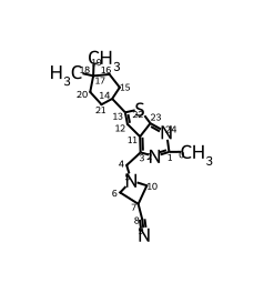 Cc1nc(CN2CC(C#N)C2)c2cc(C3CCC(C)(C)CC3)sc2n1